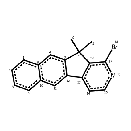 CC1(C)c2cc3ccccc3cc2-c2ccnc(Br)c21